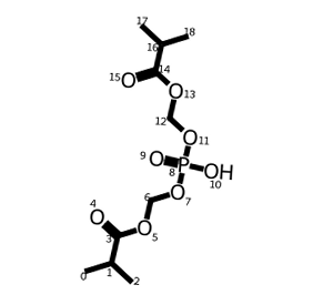 CC(C)C(=O)OCOP(=O)(O)OCOC(=O)C(C)C